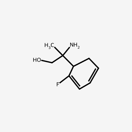 CC(N)(CO)C1CC=CC=C1F